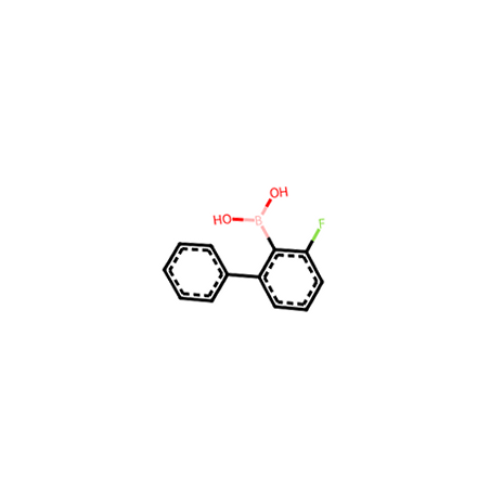 OB(O)c1c(F)cccc1-c1ccccc1